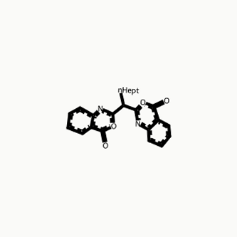 CCCCCCCC(c1nc2ccccc2c(=O)o1)c1nc2ccccc2c(=O)o1